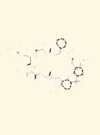 COC(=O)Cc1c(OC)ccc2c1Oc1c(ccc(OC)c1CNC(=O)CNC(=O)[C@@H](NC(=O)[C@@H](NC(=O)[C@H](C)NC(=O)OCc1ccccc1)[C@@H](C)OC(C)(C)C)C(C)C)C2(C)C